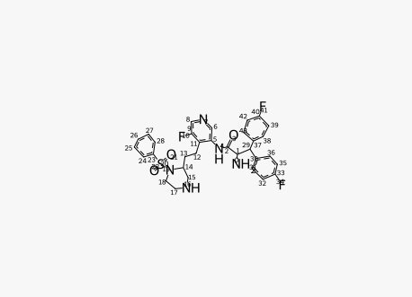 NC(C(=O)Nc1cncc(F)c1CCC1CNCCN1S(=O)(=O)c1ccccc1)C(c1ccc(F)cc1)c1ccc(F)cc1